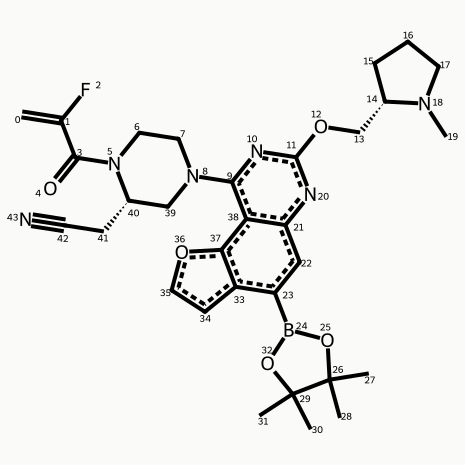 C=C(F)C(=O)N1CCN(c2nc(OC[C@@H]3CCCN3C)nc3cc(B4OC(C)(C)C(C)(C)O4)c4ccoc4c23)C[C@@H]1CC#N